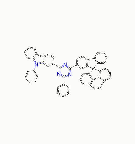 C1=CC(n2c3ccccc3c3ccc(-c4nc(-c5ccccc5)nc(-c5ccc6c(c5)C5(c7ccccc7-6)c6cccc7ccc8cccc5c8c67)n4)cc32)=CCC1